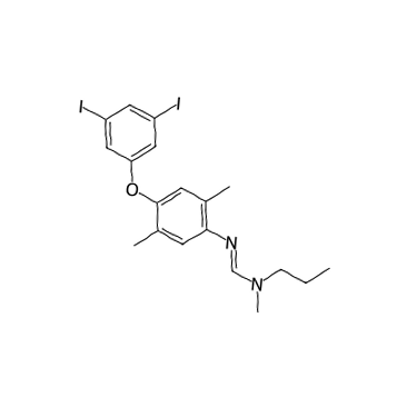 CCCN(C)C=Nc1cc(C)c(Oc2cc(I)cc(I)c2)cc1C